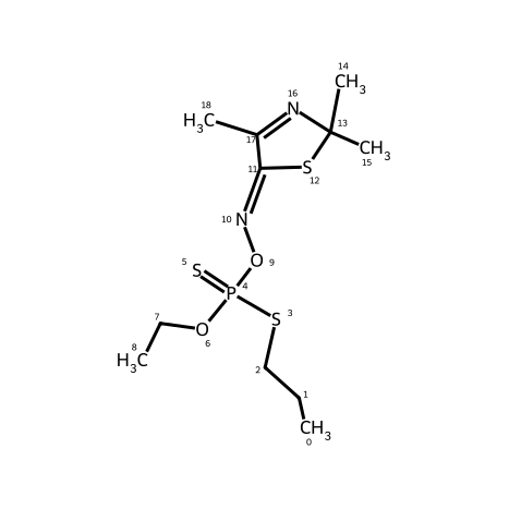 CCCSP(=S)(OCC)ON=C1SC(C)(C)N=C1C